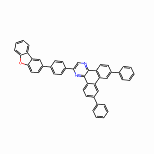 c1ccc(-c2ccc3c(c2)c2cc(-c4ccccc4)ccc2c2nc(-c4ccc(-c5ccc6oc7ccccc7c6c5)cc4)cnc32)cc1